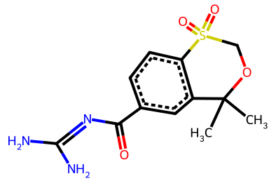 CC1(C)OCS(=O)(=O)c2ccc(C(=O)N=C(N)N)cc21